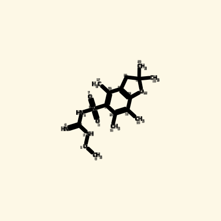 CONC(=N)NS(=O)(=O)c1c(C)c(C)c2c(c1C)CC(C)(C)O2